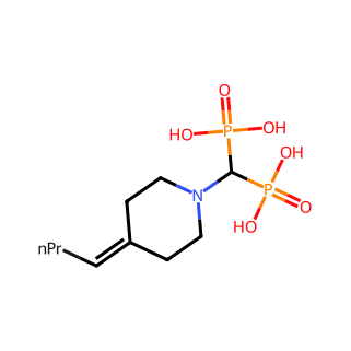 CCCC=C1CCN(C(P(=O)(O)O)P(=O)(O)O)CC1